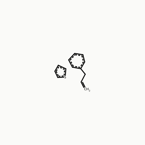 C=CCc1ccccc1.c1ccsc1